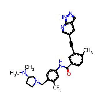 Cc1ccc(C(=O)Nc2ccc(CN3CC[C@@H](N(C)C)C3)c(C(F)(F)F)c2)cc1C#Cc1cnc2[nH]ncc2c1